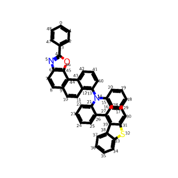 c1ccc(-c2nc3ccc4ccc5c(N(c6ccccc6)c6ccccc6-c6cccc7sc8ccccc8c67)cccc5c4c3o2)cc1